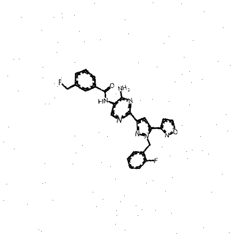 Nc1nc(-c2cc(-c3ccon3)n(Cc3ccccc3F)n2)ncc1NC(=O)c1cccc(CF)c1